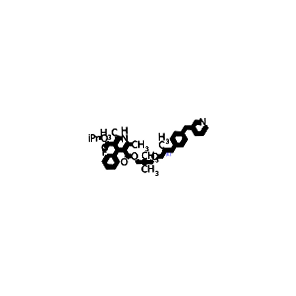 CC1=C(C(=O)OCC(C)(C)COC/C(C)=C/c2ccc(Cc3cccnc3)cc2)C(c2ccccc2F)C(C(=O)OC(C)C)=C(C)N1